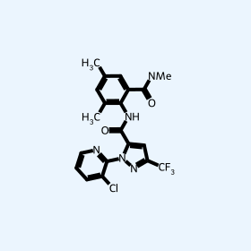 CNC(=O)c1cc(C)cc(C)c1NC(=O)c1cc(C(F)(F)F)nn1-c1ncccc1Cl